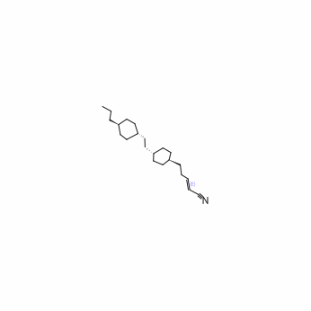 CCC[C@H]1CC[C@H](CC[C@H]2CC[C@H](CC/C=C/C#N)CC2)CC1